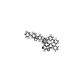 C1=CCC(c2cccc(-c3cccc(-c4nc(-c5ccc6c(c5)oc5cc(-c7ccccc7)ccc56)nc(-c5cccc6oc7ccccc7c56)n4)c3)c2)C=C1